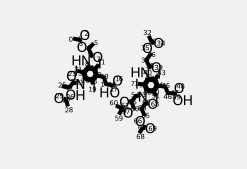 CC(=O)OC(C)C(=O)Nc1c(I)c(CCC(=O)O)c(I)c(NC(=O)C(C)OC(C)=O)c1I.CC(=O)OCCC(=O)Nc1c(I)c(CCC(=O)O)c(I)c(N(CC2COC(C)(C)O2)C(=O)CCOC(C)=O)c1I